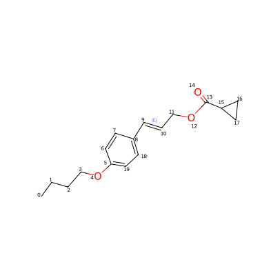 CCCCOc1ccc(/C=C/COC(=O)C2CC2)cc1